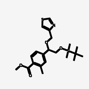 COC(=O)c1ccc(C(CO[Si](C)(C)C(C)(C)C)OCc2cscn2)cc1C